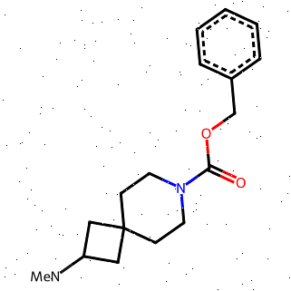 CNC1CC2(CCN(C(=O)OCc3ccccc3)CC2)C1